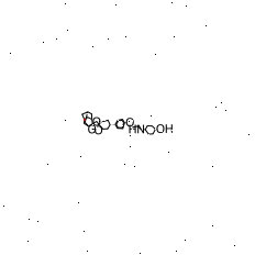 O[C@H]1CC[C@H](NCCOc2ccc([C@H]3CC[C@]4(CC3)OO[C@]3(O4)C4CC5CC(C4)CC3C5)cc2)CC1